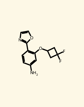 Nc1ccc(-c2ncco2)c(OC2CC(F)(F)C2)c1